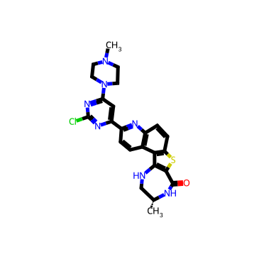 C[C@@H]1CNc2c(sc3ccc4nc(-c5cc(N6CCN(C)CC6)nc(Cl)n5)ccc4c23)C(=O)N1